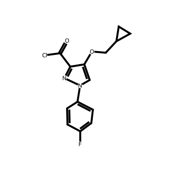 O=C(Cl)c1nn(-c2ccc(F)cc2)cc1OCC1CC1